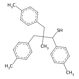 Cc1ccc(CC(C)(Cc2ccc(C)cc2)C(S)c2ccc(C)cc2)cc1